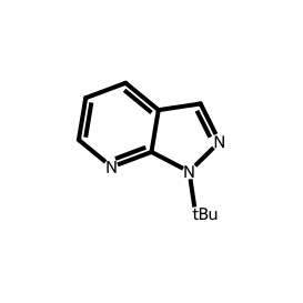 CC(C)(C)n1ncc2cccnc21